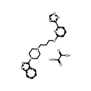 O=C(O)C(=O)O.c1cc(OCCCN2CCN(c3nsc4ccccc34)CC2)nc(-c2ncon2)c1